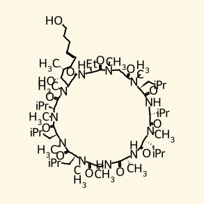 CC[C@@H]1NC(=O)[C@H]([C@H](O)[C@H](C)C/C=C/CCCO)N(C)C(=O)[C@H](C(C)C)N(C)C(=O)[C@H](CC(C)C)N(C)C(=O)[C@H](CC(C)C)N(C)C(=O)[C@H](C)NC(=O)[C@@H](C)NC(=O)[C@@H](CC(C)C)N(C)C(=O)[C@@H](C(C)C)NC(=O)[C@H](CC(C)C)N(C)C(=O)CN(C)C1=O